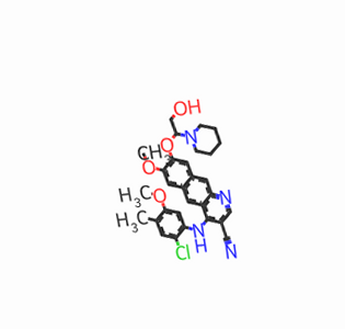 COc1cc(Nc2c(C#N)cnc3cc4cc(OC(CO)N5CCCCC5)c(OC)cc4cc23)c(Cl)cc1C